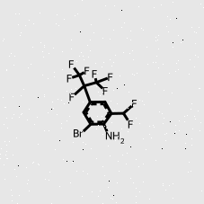 Nc1c(Br)cc(C(F)(C(F)(F)F)C(F)(F)F)cc1C(F)F